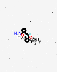 CCc1ccccc1C(O[Si](CC)(CC)CC)C(F)(F)C=Cc1ccccc1C(N)=O